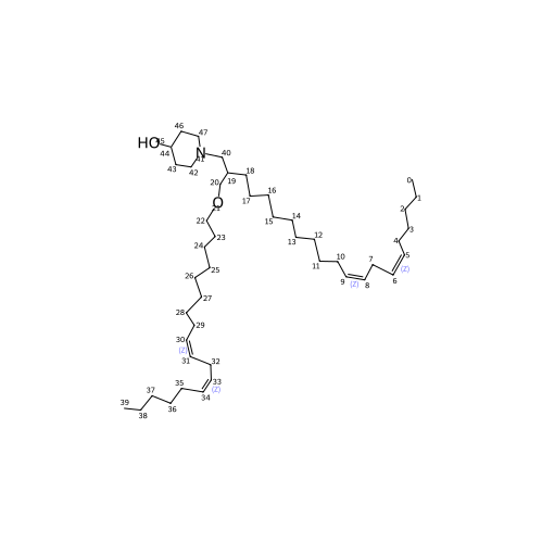 CCCCC/C=C\C/C=C\CCCCCCCCCC(COCCCCCCCC/C=C\C/C=C\CCCCC)CN1CCC(O)CC1